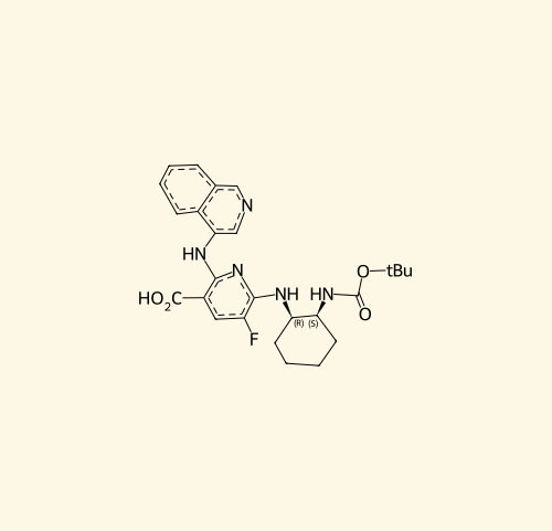 CC(C)(C)OC(=O)N[C@H]1CCCC[C@H]1Nc1nc(Nc2cncc3ccccc23)c(C(=O)O)cc1F